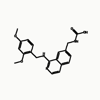 COc1ccc(CNc2nccc3ccc(CNC(=O)O)cc23)c(OC)c1